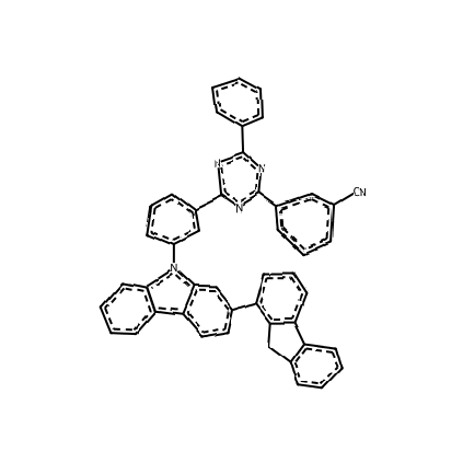 N#Cc1cccc(-c2nc(-c3ccccc3)nc(-c3cccc(-n4c5ccccc5c5ccc(-c6cccc7c6Cc6ccccc6-7)cc54)c3)n2)c1